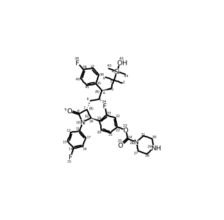 CC(C)(C[C@@H](CC[C@H]1C(=O)N(c2ccc(F)cc2)[C@@H]1c1ccc(OC(=O)N2CCNCC2)cc1F)c1ccc(F)cc1)[Si](C)(C)O